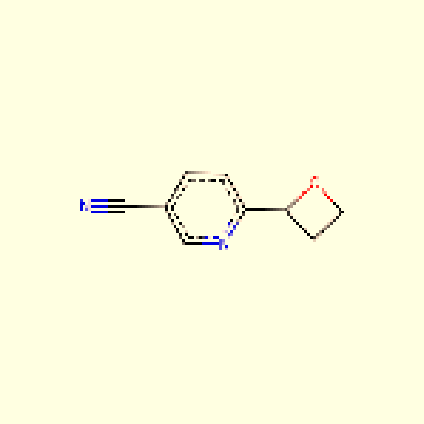 N#Cc1ccc(C2CCO2)nc1